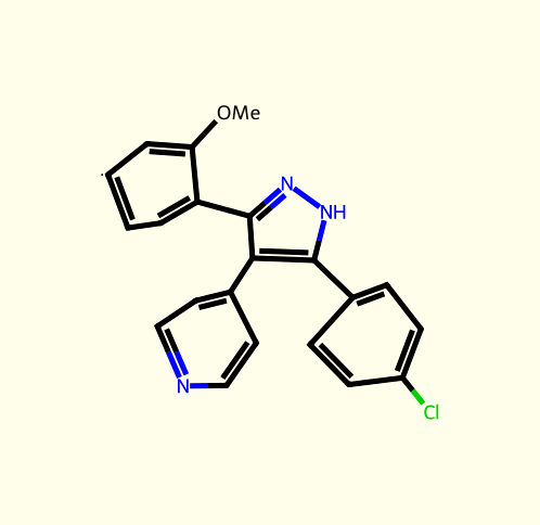 COc1c[c]ccc1-c1n[nH]c(-c2ccc(Cl)cc2)c1-c1ccncc1